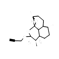 C#CCO[C@@]1(C(F)(F)F)O[C@@H]2O[C@]3(C)CCC4[C@H](C)CC[C@@H]([C@H]1C)[C@]42OO3